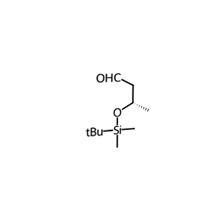 C[C@@H](CC=O)O[Si](C)(C)C(C)(C)C